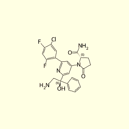 NC[C@@](O)(c1ccccc1)c1cc(N2C(=O)CC[C@H]2C(N)=O)cc(-c2cc(Cl)c(F)cc2F)n1